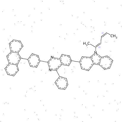 C/C=C\C=C(/C)n1c2ccccc2c2ccc(-c3ccc4nc(-c5ccc(-c6c7ccccc7cc7ccccc67)cc5)nc(-c5ccccc5)c4c3)cc21